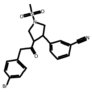 CS(=O)(=O)N1CC(C(=O)Cc2ccc(Br)cc2)C(c2cccc(C#N)c2)C1